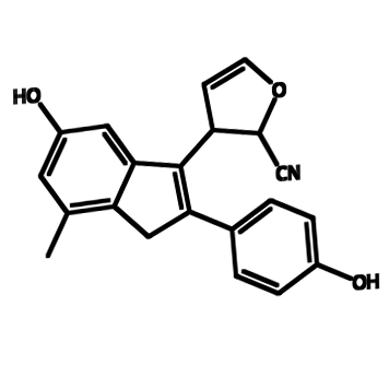 Cc1cc(O)cc2c1CC(c1ccc(O)cc1)=C2C1C=COC1C#N